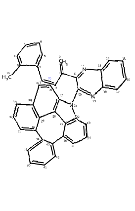 C=C(/C=C\c1ccccc1C)c1nc2ccccc2nc1-n1c2cccc3c2c2c4c(cccc4ccc21)-c1ccccc1-3